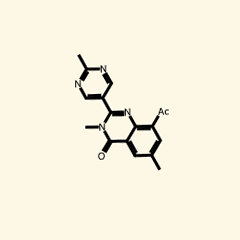 CC(=O)c1cc(C)cc2c(=O)n(C)c(-c3cnc(C)nc3)nc12